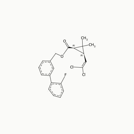 CC1(C)[C@H](C(=O)OCc2cccc(-c3ccccc3F)c2)[C@@H]1C=C(Cl)Cl